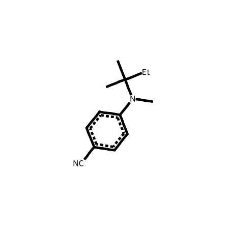 CCC(C)(C)N(C)c1ccc(C#N)cc1